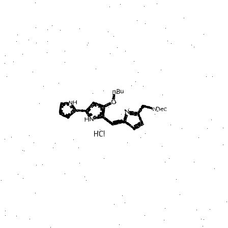 CCCCCCCCCCCC1=NC(=Cc2[nH]c(-c3ccc[nH]3)cc2OCCCC)C=C1.Cl